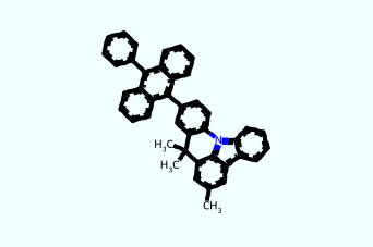 Cc1cc2c3c(c1)c1ccccc1n3-c1ccc(-c3c4ccccc4c(-c4ccccc4)c4ccccc34)cc1C2(C)C